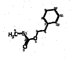 CSC(=O)OCCC1CCCCC1